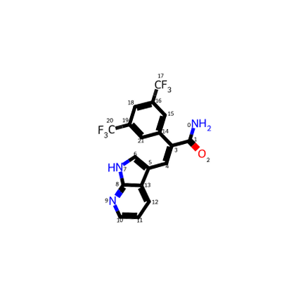 NC(=O)C(=Cc1c[nH]c2ncccc12)c1cc(C(F)(F)F)cc(C(F)(F)F)c1